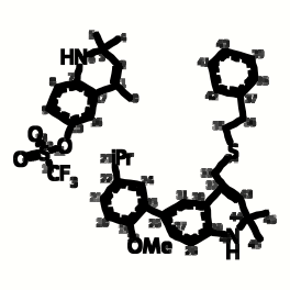 CC1=CC(C)(C)Nc2ccc(OS(=O)(=O)C(F)(F)F)cc21.COc1ccc(C(C)C)cc1-c1ccc2c(c1)C(CSCCc1ccccc1)=CC(C)(C)N2